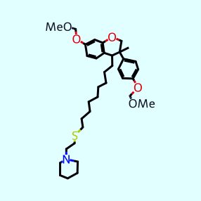 COCOc1ccc(C2(C)COc3cc(OCOC)ccc3C2CCCCCCCCCSCCN2CCCCC2)cc1